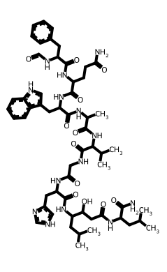 CC(C)CC(NC(=O)CC(O)C(CC(C)C)NC(=O)C(Cc1c[nH]cn1)NC(=O)CNC(=O)C(NC(=O)C(C)NC(=O)C(Cc1c[nH]c2ccccc12)NC(=O)C(CCC(N)=O)NC(=O)C(Cc1ccccc1)NC=O)C(C)C)C(N)=O